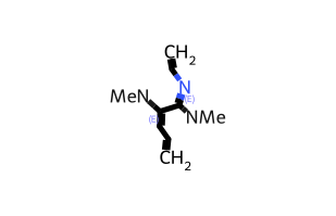 C=C/C=C(NC)\C(=N/C=C)NC